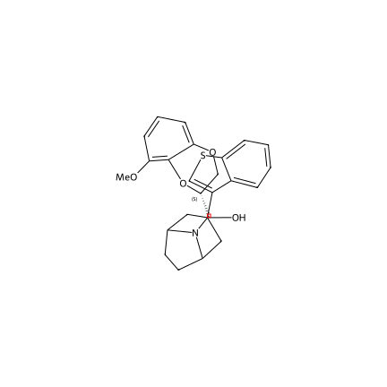 COc1cccc2c1O[C@@H](CN1C3CCC1CC(O)(c1csc4ccccc14)C3)CO2